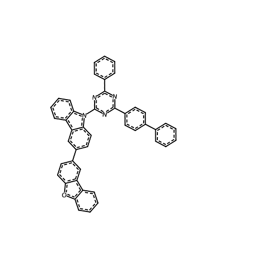 c1ccc(-c2ccc(-c3nc(-c4ccccc4)nc(-n4c5ccccc5c5cc(-c6ccc7oc8ccccc8c7c6)ccc54)n3)cc2)cc1